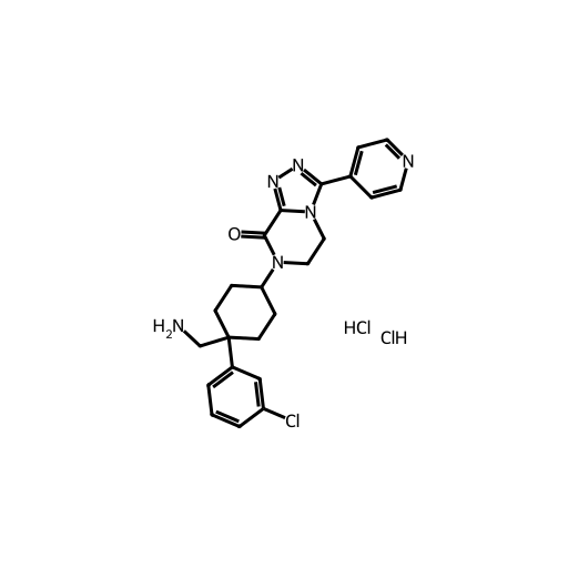 Cl.Cl.NCC1(c2cccc(Cl)c2)CCC(N2CCn3c(nnc3-c3ccncc3)C2=O)CC1